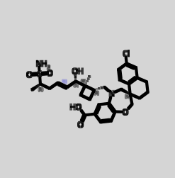 C[C@H](C/C=C/[C@H](O)[C@]1(C)CC[C@H]1CN1C[C@@]2(CCCc3cc(Cl)ccc32)COc2ccc(C(=O)O)cc21)S(N)(=O)=O